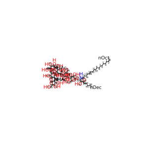 CCCCCCCC/C=C\CCCCCCCCCCCCCCCC(=O)N[C@@H](CO[C@@H]1OC(CO)[C@@H](O[C@@H]2OC(CO)[C@H](O[C@@H]3OC(CO)[C@H](O[C@@H]4OC(CO)[C@H](O)[C@H](O)C4NC(C)=O)[C@H](O[C@@H]4OC(CO)[C@H](O)[C@H](O[C@H]5OC(CO)[C@H](O)[C@H](O)C5NC(C)=O)C4NC(C)=O)C3O)[C@H](O)C2O)[C@H](O)C1O)[C@H](O)/C=C/CCCCCCCCCCCCC